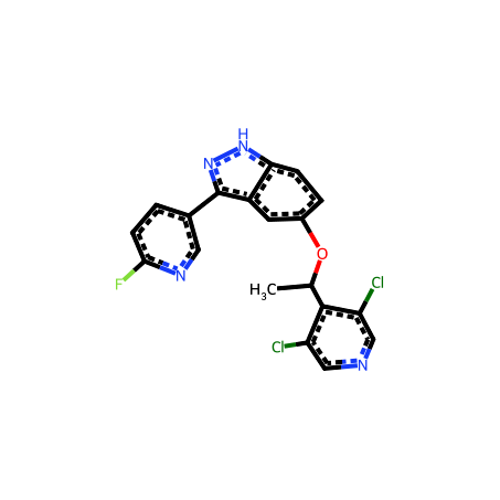 CC(Oc1ccc2[nH]nc(-c3ccc(F)nc3)c2c1)c1c(Cl)cncc1Cl